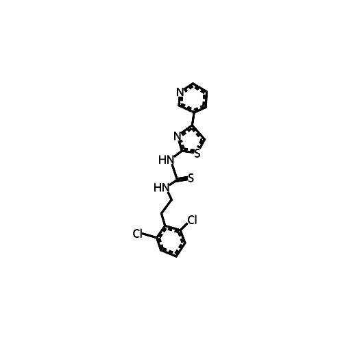 S=C(NCCc1c(Cl)cccc1Cl)Nc1nc(-c2cccnc2)cs1